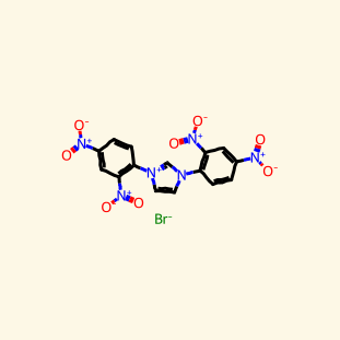 O=[N+]([O-])c1ccc(-n2cc[n+](-c3ccc([N+](=O)[O-])cc3[N+](=O)[O-])c2)c([N+](=O)[O-])c1.[Br-]